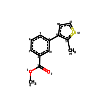 COC(=O)c1cccc(-c2ccsc2C)c1